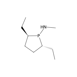 CC[C@@H]1CC[C@@H](CC)P1NC